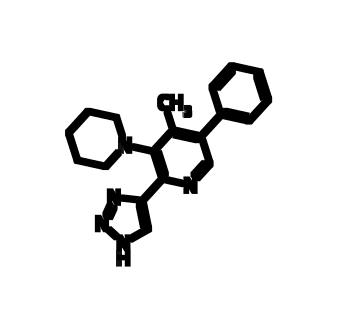 Cc1c(-c2ccccc2)cnc(-c2c[nH]nn2)c1N1CCCCC1